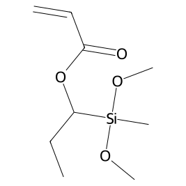 C=CC(=O)OC(CC)[Si](C)(OC)OC